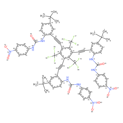 CC(C)(C)c1ccc(NC(=O)Nc2ccc([N+](=O)[O-])cc2)c(C#Cc2c(C(F)(F)F)c(C#Cc3cc(C(C)(C)C)ccc3NC(=O)Nc3ccc([N+](=O)[O-])cc3)c(C(F)(F)F)c(C#Cc3cc(C(C)(C)C)ccc3NC(=O)Nc3ccc([N+](=O)[O-])cc3)c2C(F)(F)F)c1